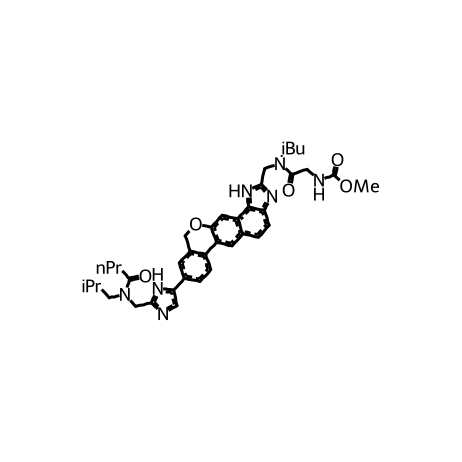 CCCC(=O)N(Cc1ncc(-c2ccc3c(c2)COc2cc4c(ccc5nc(CN(C(=O)CNC(=O)OC)[C@@H](C)CC)[nH]c54)cc2-3)[nH]1)CC(C)C